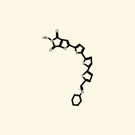 CCCCN1C(=O)c2cc(-c3ccc(-c4ccc(-c5ccc(/C=N/C6CCCCC6)s5)s4)s3)sc2C1=O